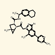 CC(=O)c1nn(CC(=O)N2C3C[C@]3(C)C[C@H]2C(=O)N[C@@H](C)c2ccc3c(c2)CCCC3)c2c(C)cc(-c3cnc(C)nc3)cc12